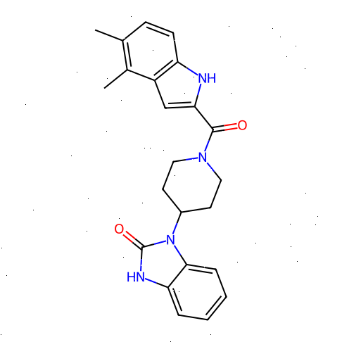 Cc1ccc2[nH]c(C(=O)N3CCC(n4c(=O)[nH]c5ccccc54)CC3)cc2c1C